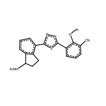 CC(=O)NC1CCc2c(-c3nnc(-c4cccc(C#N)c4OC(C)C)s3)cccc21